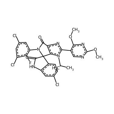 COc1ncc(-c2nc3c(n2C(C)C)C2(C(=O)Nc4cc(Cl)ccc42)N(c2cc(Cl)cc(Cl)c2F)C3=O)c(OC)n1